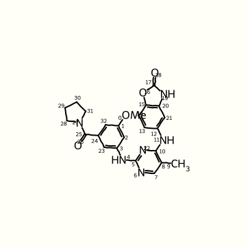 COc1cc(Nc2ncc(C)c(Nc3ccc4oc(=O)[nH]c4c3)n2)cc(C(=O)N2CCCC2)c1